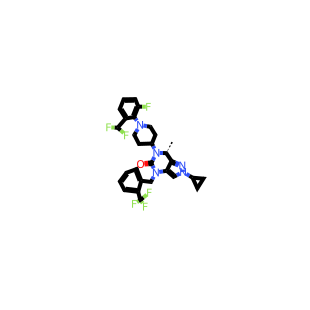 C[C@@H]1c2nn(C3CC3)cc2N(Cc2ccccc2C(F)(F)F)C(=O)N1C1CCN(c2c(F)cccc2C(F)F)CC1